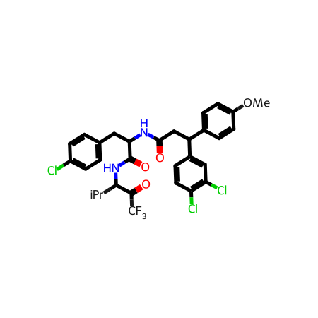 COc1ccc(C(CC(=O)NC(Cc2ccc(Cl)cc2)C(=O)NC(C(=O)C(F)(F)F)C(C)C)c2ccc(Cl)c(Cl)c2)cc1